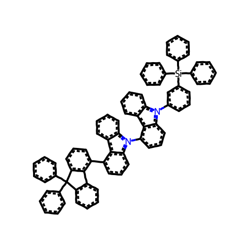 c1ccc(C2(c3ccccc3)c3ccccc3-c3c(-c4cccc5c4c4ccccc4n5-c4cccc5c4c4ccccc4n5-c4cccc([Si](c5ccccc5)(c5ccccc5)c5ccccc5)c4)cccc32)cc1